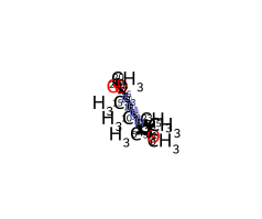 COc1cc(C)c(/C=C/C(C)=C/C=C/C(C)=C/COC(C)=O)c(C)c1C